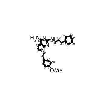 COc1ccc(CCn2cnc3c(N)nc(NCCCc4ccccc4)nc32)cc1